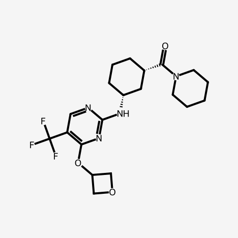 O=C([C@H]1CCC[C@@H](Nc2ncc(C(F)(F)F)c(OC3COC3)n2)C1)N1CCCCC1